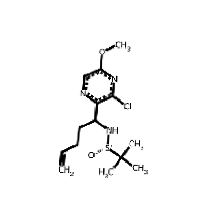 C=CCCC(N[S@@+]([O-])C(C)(C)C)c1ncc(OC)nc1Cl